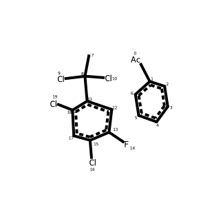 CC(=O)c1ccccc1.CC(Cl)(Cl)c1cc(F)c(Cl)cc1Cl